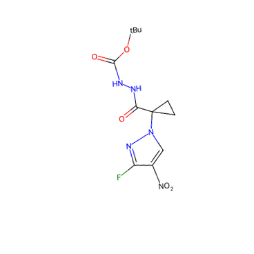 CC(C)(C)OC(=O)NNC(=O)C1(n2cc([N+](=O)[O-])c(F)n2)CC1